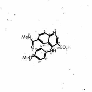 CNC(=O)c1ccc2ncc(C(=O)O)c(Nc3ccc(OC)cc3)c2c1